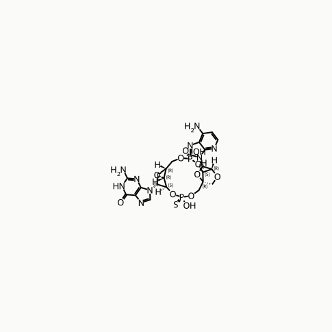 Nc1nc2c(ncn2[C@@H]2O[C@@H]3COP(=O)(O)O[C@H]4[C@H]5OC[C@]4(COP(O)(=S)O[C@@H]2[C@@H]3F)O[C@H]5n2cnc3c(N)ccnc32)c(=O)[nH]1